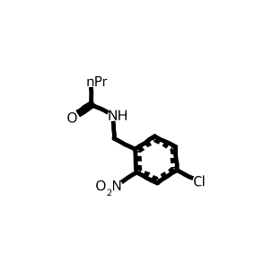 [CH2]CCC(=O)NCc1ccc(Cl)cc1[N+](=O)[O-]